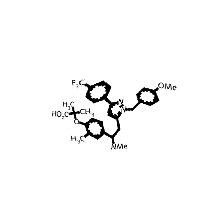 CNC(Cc1cc(-c2ccc(C(F)(F)F)cc2)nn1Cc1ccc(OC)cc1)c1ccc(OC(C)(C)C(=O)O)c(C)c1